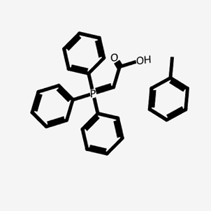 Cc1ccccc1.O=C(O)C=P(c1ccccc1)(c1ccccc1)c1ccccc1